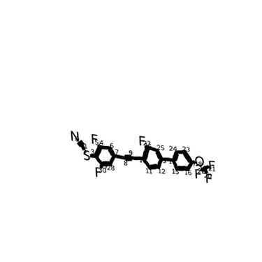 N#CSc1c(F)cc(C#Cc2ccc(-c3ccc(OC(F)(F)F)cc3)cc2F)cc1F